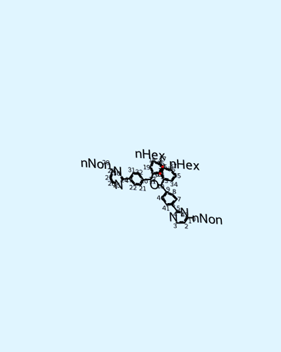 CCCCCCCCCc1ccnc(-c2ccc(C(OC(c3ccc(CCCCCC)cc3)c3ccc(-c4nccc(CCCCCCCCC)n4)cc3)c3ccc(CCCCCC)cc3)cc2)n1